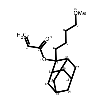 C=CC(=O)OC1(CCCCOC)C2CC3CC(C2)CC1C3